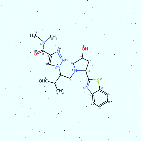 CC(C=O)C(CN1CC(O)CC1c1nc2ccccc2s1)n1cc(C(=O)N(C)C)nn1